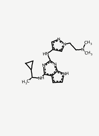 C[C@H](Nc1nc(Nc2cnn(CCN(C)C)c2)nc2[nH]ccc12)C1CC1